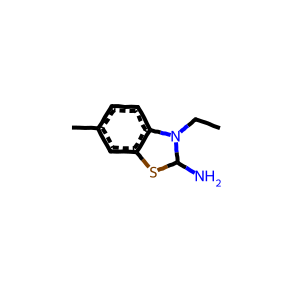 CCN1c2ccc(C)cc2SC1N